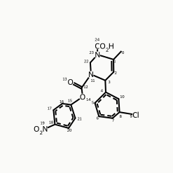 CC1=CC(c2cccc(Cl)c2)N(C(=O)Oc2ccc([N+](=O)[O-])cc2)CN1C(=O)O